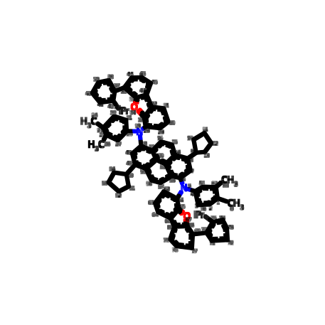 Cc1ccc(N(c2cc(C3CCCC3)c3ccc4c(N(c5ccc(C)c(C)c5)c5cccc6c5oc5c(-c7ccccc7C(C)C)cccc56)cc(C5CCCC5)c5ccc2c3c54)c2cccc3c2oc2c(-c4ccccc4C(C)C)cccc23)cc1C